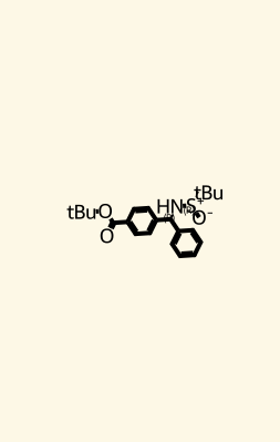 CC(C)(C)OC(=O)c1ccc([C@H](N[S@@+]([O-])C(C)(C)C)c2ccccc2)cc1